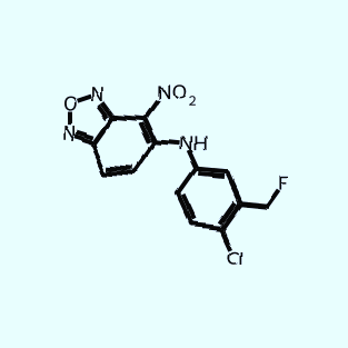 O=[N+]([O-])c1c(Nc2ccc(Cl)c(CF)c2)ccc2nonc12